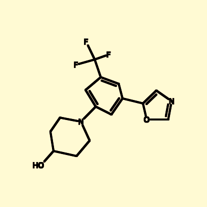 OC1CCN(c2cc(-c3cnco3)cc(C(F)(F)F)c2)CC1